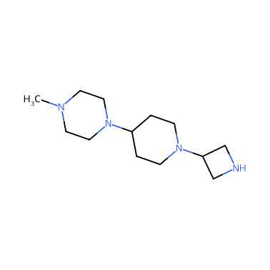 CN1CCN(C2CCN(C3CNC3)CC2)CC1